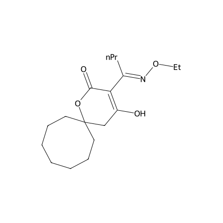 CCC/C(=N\OCC)C1=C(O)CC2(CCCCCCC2)OC1=O